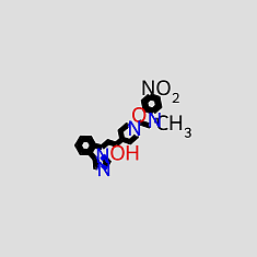 CN(CC(=O)N1CCC(C(O)CC2c3ccccc3-c3cncn32)CC1)c1ccc([N+](=O)[O-])cc1